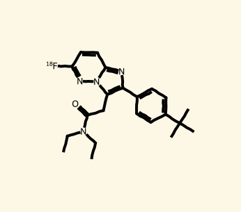 CCN(CC)C(=O)Cc1c(-c2ccc(C(C)(C)C)cc2)nc2ccc([18F])nn12